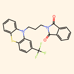 O=C1c2ccccc2C(=O)N1CCCN1c2ccccc2Sc2ccc(C(F)(F)F)cc21